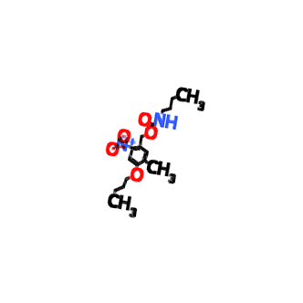 CCCCNC(=O)OCc1cc(C)c(OCCCC)cc1[N+](=O)[O-]